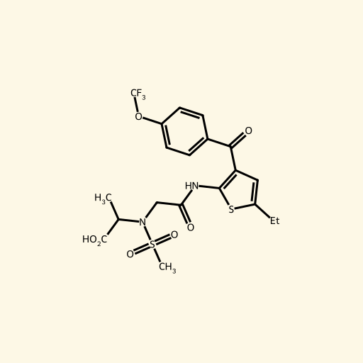 CCc1cc(C(=O)c2ccc(OC(F)(F)F)cc2)c(NC(=O)CN(C(C)C(=O)O)S(C)(=O)=O)s1